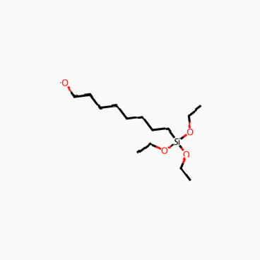 CCO[Si](CCCCCCCC[O])(OCC)OCC